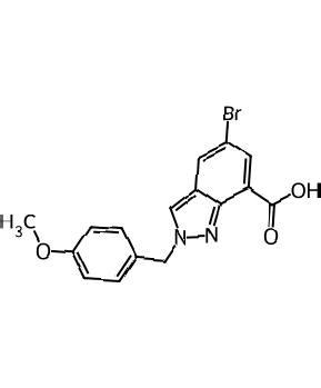 COc1ccc(Cn2cc3cc(Br)cc(C(=O)O)c3n2)cc1